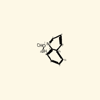 BC=O.c1ccc2ncccc2c1